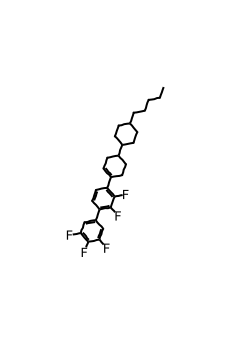 CCCCCC1CCC(C2CC=C(c3ccc(-c4cc(F)c(F)c(F)c4)c(F)c3F)CC2)CC1